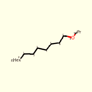 CCCCCCCCCCCCCOC(C)C